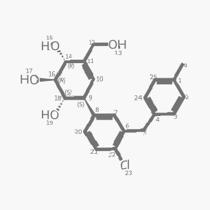 Cc1ccc(Cc2cc([C@@H]3C=C(CO)[C@@H](O)[C@H](O)[C@H]3O)ccc2Cl)cc1